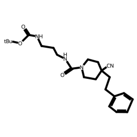 CC(C)(C)OC(=O)NCCCNC(=O)N1CCC(C#N)(CCc2ccccc2)CC1